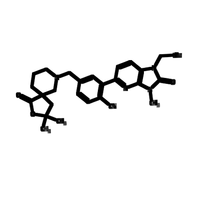 Cn1c(=O)n(CC(C)(C)C)c2ccc(-c3cc(CN4CCCC5(C4)CC(C)(C)OC5=O)ccc3C#N)nc21